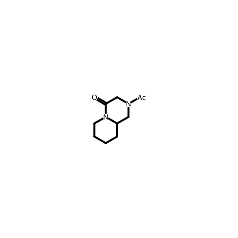 CC(=O)N1CC(=O)N2CCCCC2C1